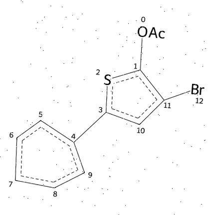 CC(=O)Oc1sc(-c2ccccc2)cc1Br